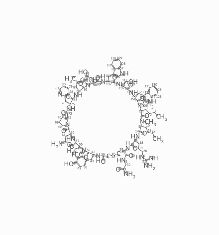 CCCC[C@H]1C(=O)N(C)[C@@H](CCCC)C(=O)N[C@@H](CCCNC(=N)N)C(=O)N[C@H](C(=O)NCC(N)=O)CSCC(=O)N[C@@H](Cc2ccc(O)cc2)C(=O)N(C)[C@@H](C)C(=O)N[C@@H](CC(N)=O)C(=O)N2CCC[C@H]2C(=O)N[C@@H](Cc2ccccn2)C(=O)N[C@@H](CC(C)C)C(=O)N2C[C@H](O)C[C@H]2C(=O)N[C@@H](Cc2c[nH]c3ccccc23)C(=O)N[C@@H](CO)C(=O)N[C@@H](Cc2c[nH]c3ccccc23)C(=O)N1C